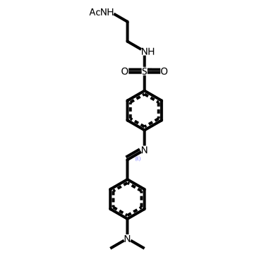 CC(=O)NCCNS(=O)(=O)c1ccc(/N=C/c2ccc(N(C)C)cc2)cc1